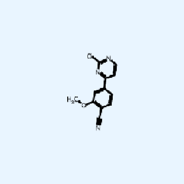 COc1cc(-c2ccnc(Cl)n2)ccc1C#N